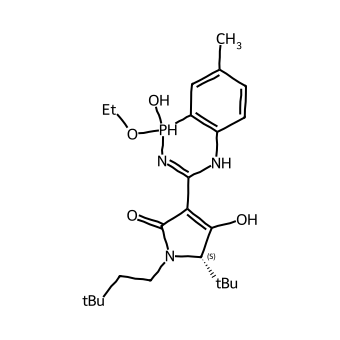 CCO[PH]1(O)N=C(C2=C(O)[C@H](C(C)(C)C)N(CCC(C)(C)C)C2=O)Nc2ccc(C)cc21